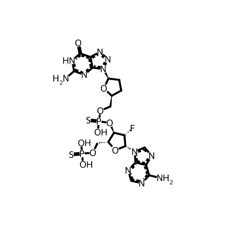 Nc1nc2c(nnn2[C@H]2CC[C@@H](COP(O)(=S)O[C@H]3[C@H](F)[C@H](n4cnc5c(N)ncnc54)O[C@@H]3COP(O)(O)=S)O2)c(=O)[nH]1